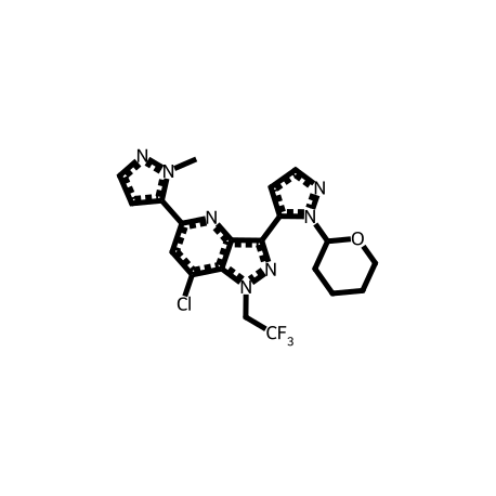 Cn1nccc1-c1cc(Cl)c2c(n1)c(-c1ccnn1C1CCCCO1)nn2CC(F)(F)F